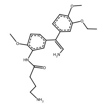 CCOc1cc(C(=CN)c2ccc(OC)c(NC(=O)CCCN)c2)ccc1OC